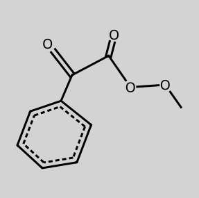 COOC(=O)C(=O)c1ccccc1